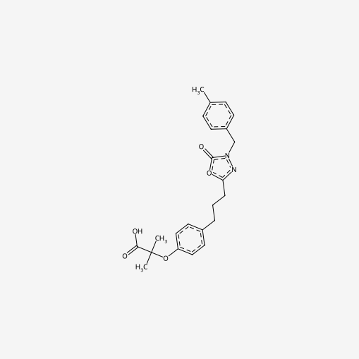 Cc1ccc(Cn2nc(CCCc3ccc(OC(C)(C)C(=O)O)cc3)oc2=O)cc1